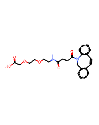 O=C(O)COCCOCCNC(=O)CCC(=O)N1Cc2ccccc2C#Cc2ccccc21